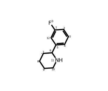 Fc1cccc(C2[CH]CCCN2)c1